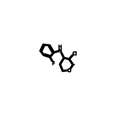 Fc1ccccc1NC1CCO[CH]C1Cl